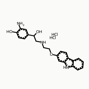 Cl.Cl.Nc1cc(C(O)CNCCOc2ccc3c(c2)[nH]c2ccccc23)ccc1O